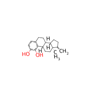 C=C1CC[C@H]2[C@@H]3CCc4ccc(O)c(O)c4[C@H]3CC[C@]12C